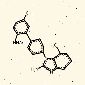 CC(=O)Nc1ccc(C)cc1-c1ccc(-n2c(N)nc3cccc(C)c32)cc1